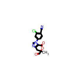 CC1(C=O)Cc2ncn(-c3ccc(C#N)c(Cl)c3)c2C(=O)O1